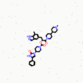 Cc1cc(CC(OC(=O)N2CCC(n3cc(-c4ccccc4)[nH]c3=O)CC2)C(=O)N2CCC(C3CCN(C)CC3)CC2)cc2cn[nH]c12